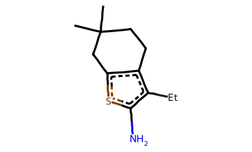 CCc1c(N)sc2c1CCC(C)(C)C2